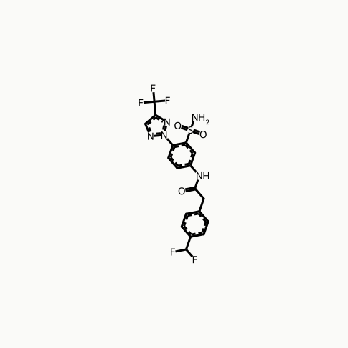 NS(=O)(=O)c1cc(NC(=O)Cc2ccc(C(F)F)cc2)ccc1-n1ncc(C(F)(F)F)n1